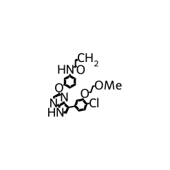 C=CC(=O)Nc1cccc(Oc2cnc3[nH]cc(-c4ccc(Cl)c(OCCOC)c4)c3n2)c1